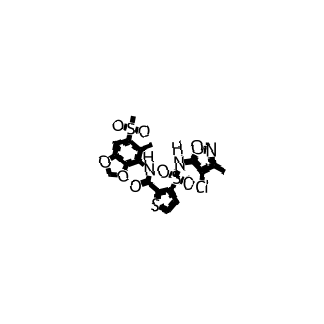 Cc1noc(NS(=O)(=O)c2ccsc2C(=O)Nc2c(C)c(S(C)(=O)=O)cc3c2OCO3)c1Cl